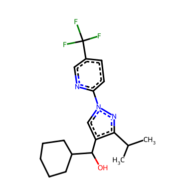 CC(C)c1nn(-c2ccc(C(F)(F)F)cn2)cc1C(O)C1CCCCC1